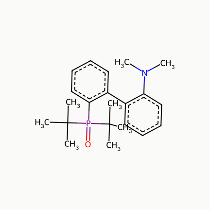 CN(C)c1ccccc1-c1ccccc1P(=O)(C(C)(C)C)C(C)(C)C